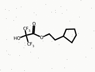 O=C(OCCC1CCCC1)C(O)(C(F)(F)F)C(F)(F)F